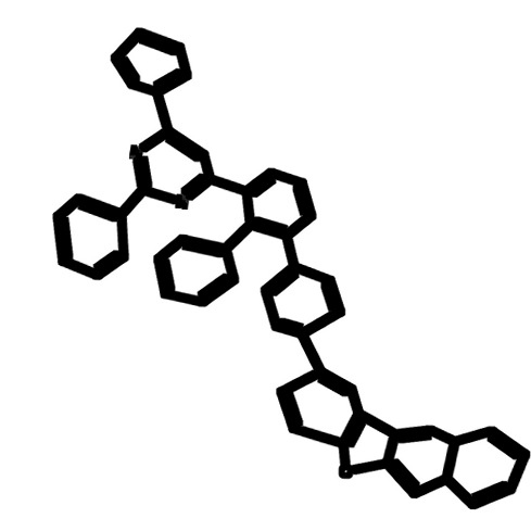 C1=CC2C=c3oc4ccc(-c5ccc(-c6cccc(-c7cc(-c8ccccc8)nc(-c8ccccc8)n7)c6-c6ccccc6)cc5)cc4c3=CC2C=C1